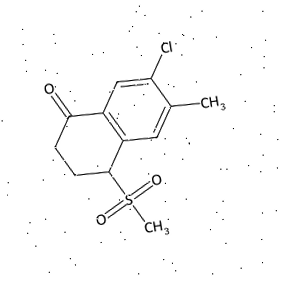 Cc1cc2c(cc1Cl)C(=O)CCC2S(C)(=O)=O